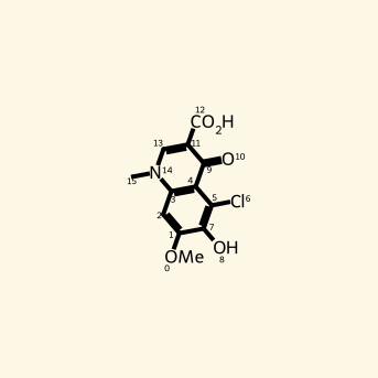 COc1cc2c(c(Cl)c1O)c(=O)c(C(=O)O)cn2C